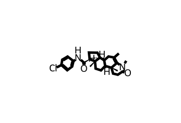 CC1=C2N(C)C(=O)CC[C@]2(C)[C@H]2CC[C@]3(C)[C@@H](C(=O)Nc4ccc(Cl)cc4)CC[C@H]3[C@@H]2C1